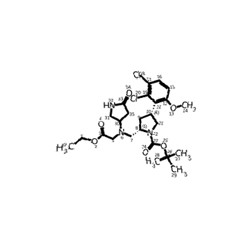 CCOC(=O)CN(C[C@@H]1C[C@H](c2c(OC)ccc(Cl)c2Cl)CN1C(=O)OC(C)(C)C)C1CNC(=O)C1